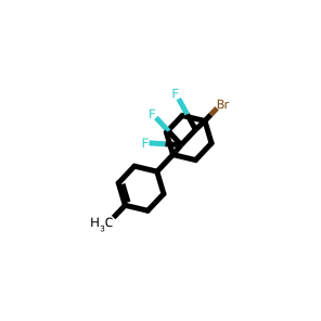 CC1=CCC(C23CCC(Br)(CC2)C(F)C3(F)F)CC1